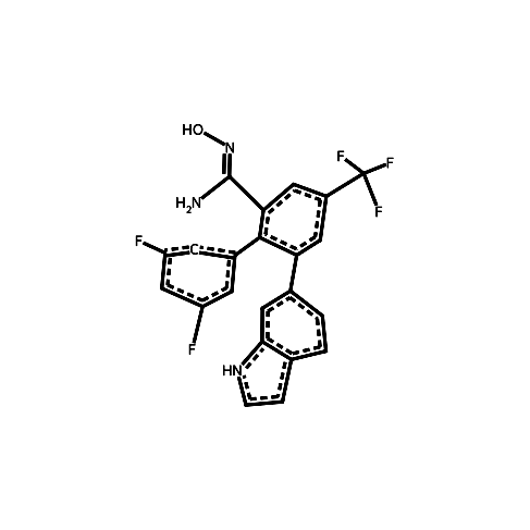 N/C(=N\O)c1cc(C(F)(F)F)cc(-c2ccc3cc[nH]c3c2)c1-c1cc(F)cc(F)c1